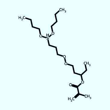 C=C(C)C(=O)OC(CC)CCOOCCC[SiH](OCCCC)OCCCC